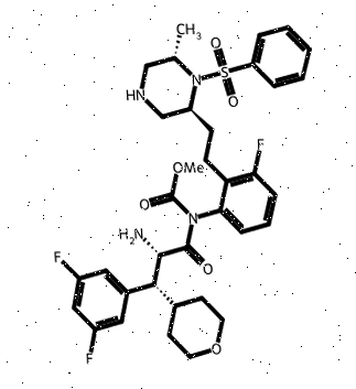 COC(=O)N(C(=O)[C@@H](N)[C@@H](c1cc(F)cc(F)c1)C1CCOCC1)c1cccc(F)c1CC[C@H]1CNC[C@H](C)N1S(=O)(=O)c1ccccc1